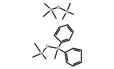 C[Si](C)(C)O[Si](C)(C)C.C[Si](C)(C)O[Si](C)(c1ccccc1)c1ccccc1